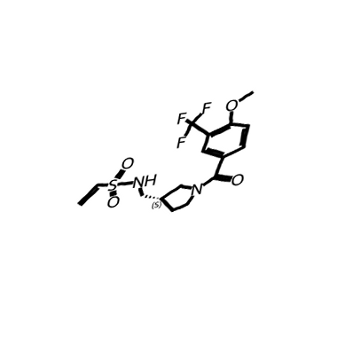 C=CS(=O)(=O)NC[C@H]1CCN(C(=O)c2ccc(OC)c(C(F)(F)F)c2)C1